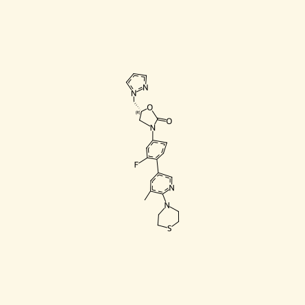 Cc1cc(-c2ccc(N3C[C@H](Cn4cccn4)OC3=O)cc2F)cnc1N1CCSCC1